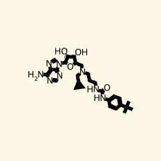 CC(C)(C)c1ccc(NC(=O)NCCCN(CC2CC2)CC2OC(n3cnc4c(N)ncnc43)[C@H](O)[C@@H]2O)cc1